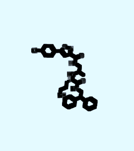 CC(CNC(=O)c1cc(C2=CCC(Cl)C=C2)on1)N[C@@H](CCCN)C(=O)NCC(c1ccccc1)c1ccccc1